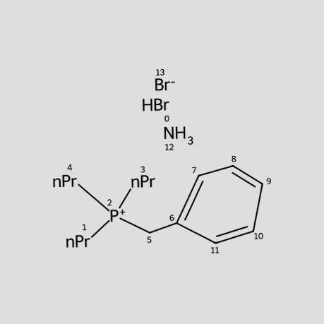 Br.CCC[P+](CCC)(CCC)Cc1ccccc1.N.[Br-]